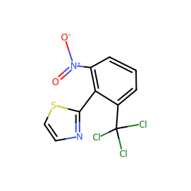 O=[N+]([O-])c1cccc(C(Cl)(Cl)Cl)c1-c1nccs1